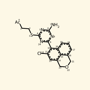 CC(=O)CCSc1nc(N)nc(-c2c(Cl)cc3c4c(cccc24)COC3)n1